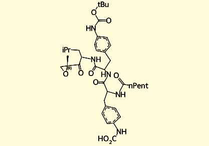 CCCCCC(=O)NC(Cc1ccc(NC(=O)O)cc1)C(=O)NC(Cc1ccc(NC(=O)OC(C)(C)C)cc1)C(=O)NC(CC(C)C)C(=O)[C@@]1(C)CO1